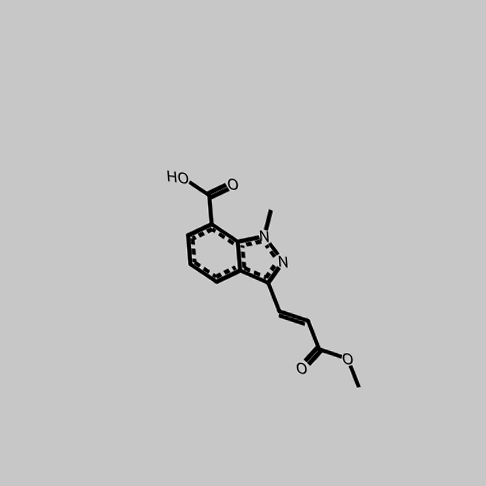 COC(=O)C=Cc1nn(C)c2c(C(=O)O)cccc12